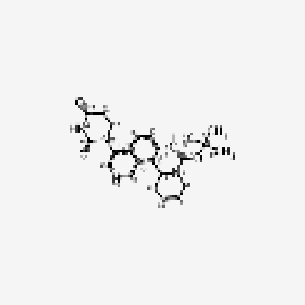 CC(C)(C)OC(=O)N1CC=CCC1c1cccc2c(N3CCC(=O)NC3=O)cncc12